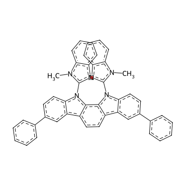 Cn1c(-n2c3ccc(-c4ccccc4)cc3c3ccc4c5cc(-c6ccccc6)ccc5n(-c5nc6ccccc6n5C)c4c32)nc2ccccc21